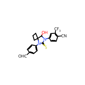 N#Cc1ccc(N2C(=S)N(c3ccc(C=O)cc3)C3(CCC3)C2O)cc1C(F)(F)F